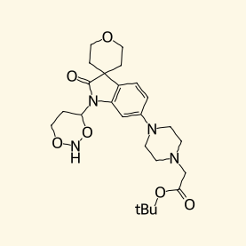 CC(C)(C)OC(=O)CN1CCN(c2ccc3c(c2)N(C2CCONO2)C(=O)C32CCOCC2)CC1